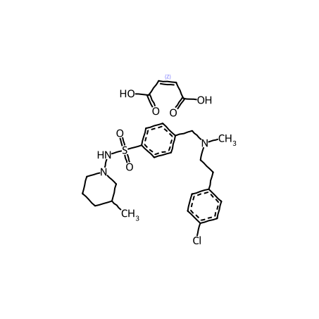 CC1CCCN(NS(=O)(=O)c2ccc(CN(C)CCc3ccc(Cl)cc3)cc2)C1.O=C(O)/C=C\C(=O)O